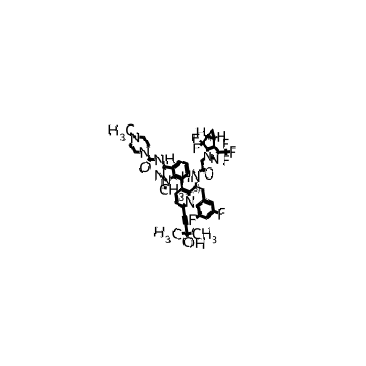 CN1CCN(C(=O)Nc2nn(C)c3c(-c4ccc(C#CC(C)(C)O)nc4[C@H](Cc4cc(F)cc(F)c4)NC(=O)Cn4nc(C(F)(F)F)c5c4C(F)(F)[C@@H]4C[C@H]54)cccc23)CC1